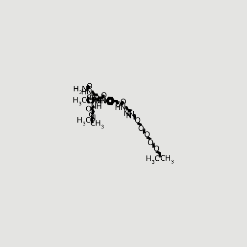 CC(C)=NOCC(=O)N[C@@H](CC(C)C)C(=O)N[C@@H](CCCNC(N)=O)C(=O)Nc1ccc(COC(=O)NCc2cn(CCOCCOCCOCCOCCOCCC(C)C)nn2)cc1